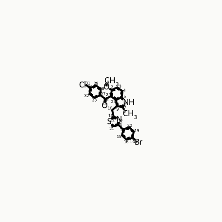 COc1ccc2[nH]c(C)c(Cc3nc(-c4ccc(Br)cc4)cs3)c2c1C(=O)c1ccc(Cl)cc1